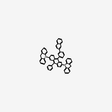 c1ccc(-c2c3ccc(N4c5ccccc5Cc5ccccc54)cc3c(-c3cccc(-c4ccc5ccccc5c4)c3)c3ccc(N4c5ccccc5Cc5ccccc54)cc23)cc1